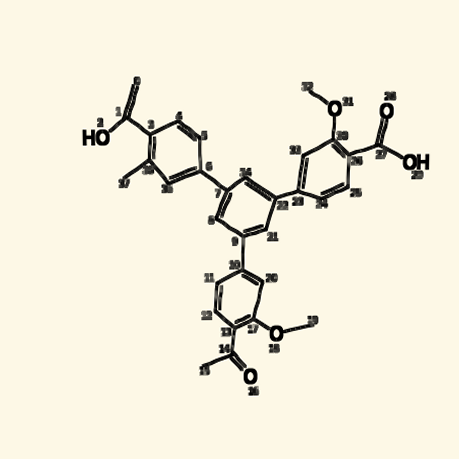 C=C(O)c1ccc(-c2cc(-c3ccc(C(C)=O)c(OC)c3)cc(-c3ccc(C(=O)O)c(OC)c3)c2)cc1C